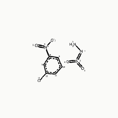 NN=S(=O)=O.O=[N+]([O-])c1cccc(Cl)c1